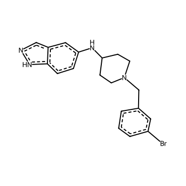 Brc1cccc(CN2CCC(Nc3ccc4[nH]ncc4c3)CC2)c1